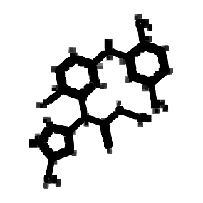 Cc1cc(N(C(=O)OC(C)(C)C)c2nc(Nc3cc(N)ccc3C)ncc2F)n[nH]1